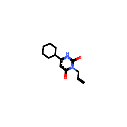 C=CCn1c(=O)cc(C2CCCCC2)[nH]c1=O